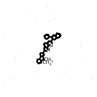 CC1(C)c2ccccc2-c2ccc(-c3cnc4c(ccc5cc(-c6cc7ccccc7cc6-c6ccccc6)cnc54)c3)cc21